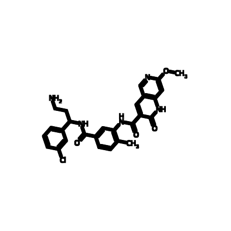 COc1cc2[nH]c(=O)c(C(=O)Nc3cc(C(=O)NC(CCN)c4cccc(Cl)c4)ccc3C)cc2cn1